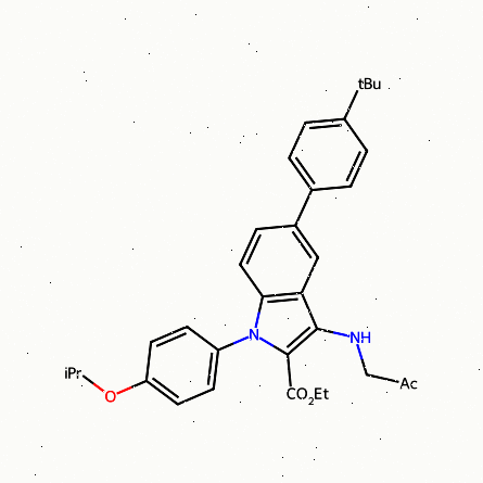 CCOC(=O)c1c(NCC(C)=O)c2cc(-c3ccc(C(C)(C)C)cc3)ccc2n1-c1ccc(OC(C)C)cc1